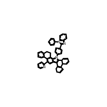 C1=CC2C3=C(CCC=C3)c3c(n(-c4ccc(-c5nc6ccccc6n5-c5ccccc5)cc4)c4c5c(c(-c6ccccn6)cc34)-c3ccccc3CC5)C2C=C1